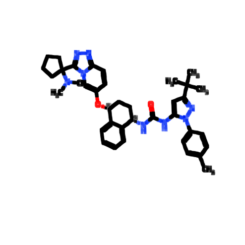 Cc1ccc(-n2nc(C(C)(C)C)cc2NC(=O)N[C@H]2CC[C@@H](Oc3ccc4nnc(C5(N(C)C)CCCC5)n4c3)c3ccccc32)cc1